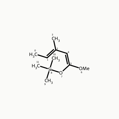 CC=C(C)C=C(OC)O[Si](C)(C)C